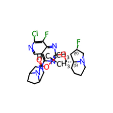 CC(C)(C)OC(=O)N1C2CCC1CN(c1nc(OC[C@@]34CCCCN3C[C@H](F)C4)nc3c(F)c(Cl)ncc13)C2